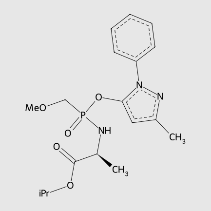 COCP(=O)(N[C@@H](C)C(=O)OC(C)C)Oc1cc(C)nn1-c1ccccc1